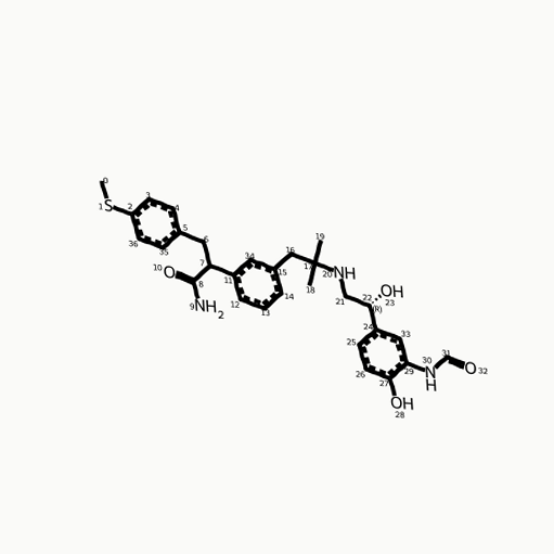 CSc1ccc(CC(C(N)=O)c2cccc(CC(C)(C)NC[C@H](O)c3ccc(O)c(NC=O)c3)c2)cc1